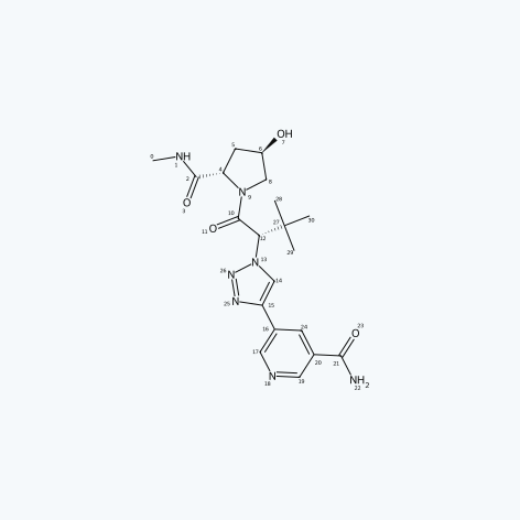 CNC(=O)[C@@H]1C[C@@H](O)CN1C(=O)[C@@H](n1cc(-c2cncc(C(N)=O)c2)nn1)C(C)(C)C